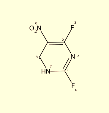 O=[N+]([O-])C1=C(F)N=C(F)N[CH]1